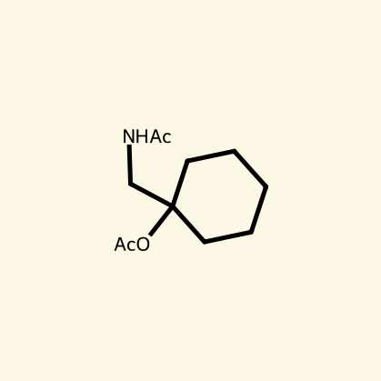 CC(=O)NCC1(OC(C)=O)CCCCC1